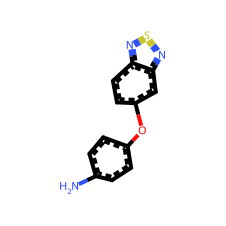 Nc1ccc(Oc2ccc3nsnc3c2)cc1